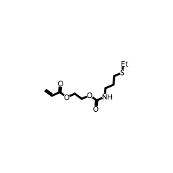 C=CC(=O)OCCOC(=O)NCCCSCC